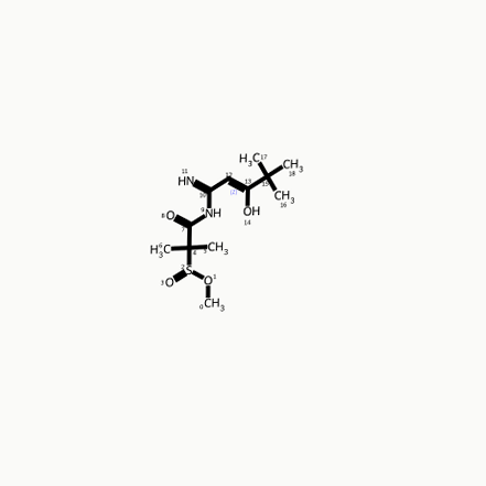 COS(=O)C(C)(C)C(=O)NC(=N)/C=C(\O)C(C)(C)C